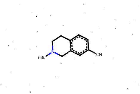 CCCCN1CCc2ccc(C#N)cc2C1